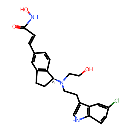 O=C(C=Cc1ccc2c(c1)CC[C@@H]2N(CCO)CCc1c[nH]c2ccc(Cl)cc12)NO